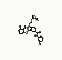 CN(C)CCCn1c(Nc2c(Cl)cccc2Cl)nc2cc(C(=O)Nc3cc(Cl)ccn3)ccc21